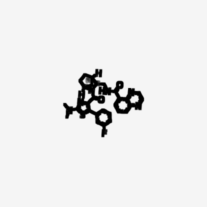 CN(C)c1nc(C(=O)N2[C@@H]3CC[C@@H](C3)[C@H]2CNC(=O)c2cccc3nccnc23)c(-c2cccc(F)c2)s1